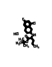 CCCC(NC1CCc2cc(F)cc(Cl)c2C1)C(=O)OC(C)(C)C.Cl